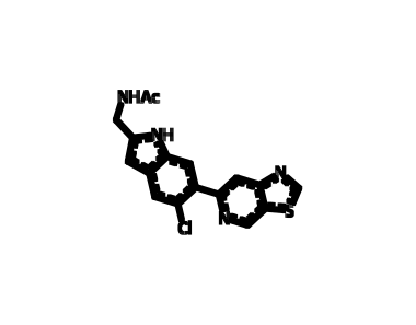 CC(=O)NCc1cc2cc(Cl)c(-c3cc4ncsc4cn3)cc2[nH]1